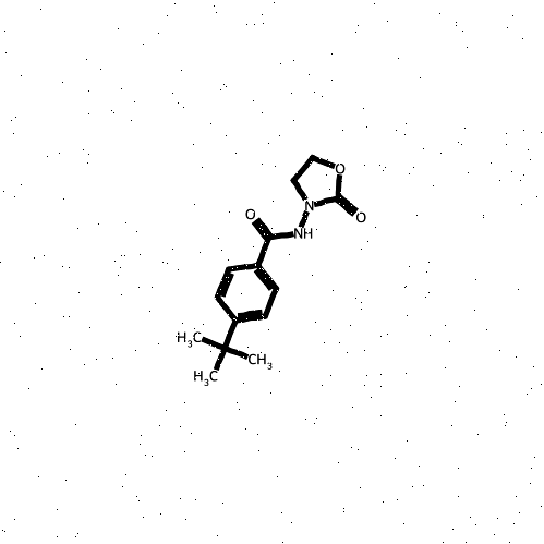 CC(C)(C)c1ccc(C(=O)NN2CCOC2=O)cc1